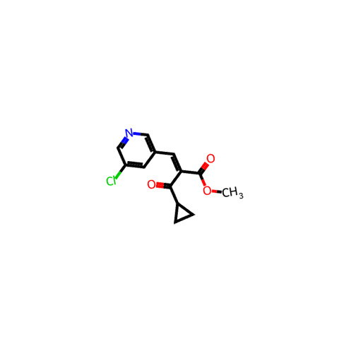 COC(=O)/C(=C/c1cncc(Cl)c1)C(=O)C1CC1